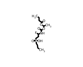 CCCCP(=O)(O)CCC(F)NC(=O)OC(C)OC(=O)CCC